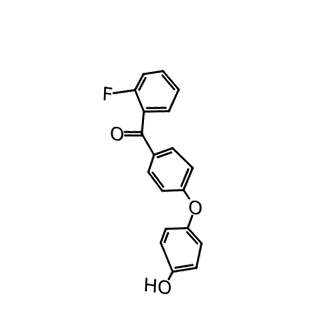 O=C(c1ccc(Oc2ccc(O)cc2)cc1)c1ccccc1F